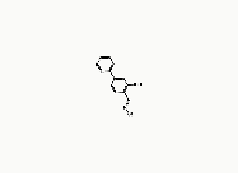 ON=Cc1ccc(-c2ccccc2)cc1O